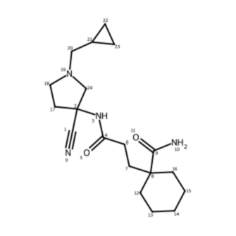 N#CC1(NC(=O)[CH]CC2(C(N)=O)CCCCC2)CCN(CC2CC2)C1